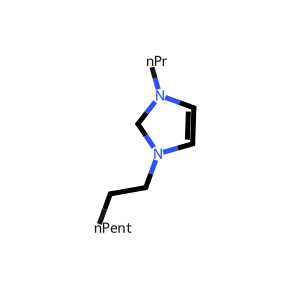 CCCCCCCN1C=CN(CCC)C1